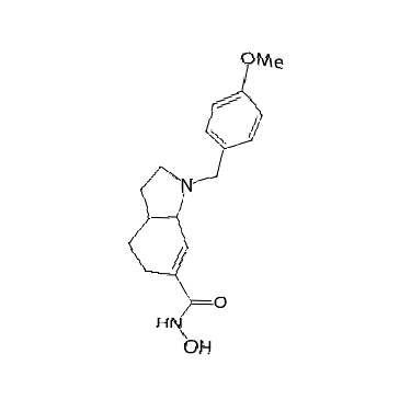 COc1ccc(CN2CCC3CCC(C(=O)NO)=CC32)cc1